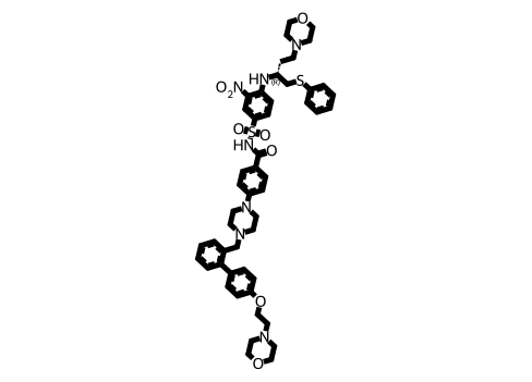 O=C(NS(=O)(=O)c1ccc(N[C@H](CCN2CCOCC2)CSc2ccccc2)c([N+](=O)[O-])c1)c1ccc(N2CCN(Cc3ccccc3-c3ccc(OCCN4CCOCC4)cc3)CC2)cc1